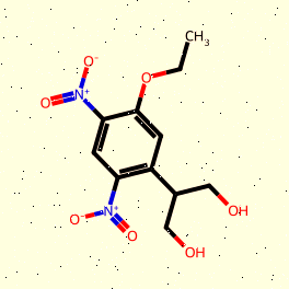 CCOc1cc(C(CO)CO)c([N+](=O)[O-])cc1[N+](=O)[O-]